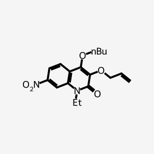 C=CCOc1c(OCCCC)c2ccc([N+](=O)[O-])cc2n(CC)c1=O